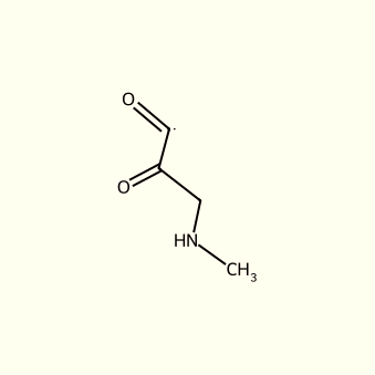 CNCC(=O)[C]=O